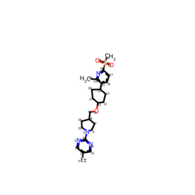 CCc1cnc(N2CCC(COC3CCC(c4ccc(S(C)(=O)=O)nc4C)CC3)CC2)nc1